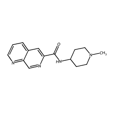 CN1CCC(NC(=O)c2cc3cccnc3cn2)CC1